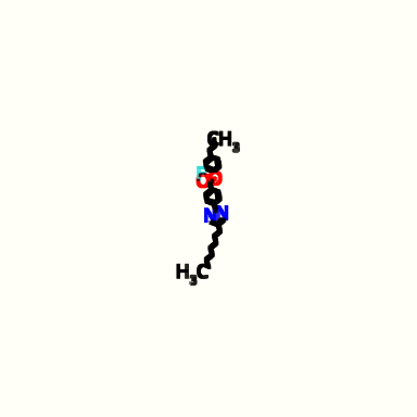 CCCCCCCCc1cnc(-c2ccc(C(=O)Oc3ccc(CCC)cc3F)cc2)nc1